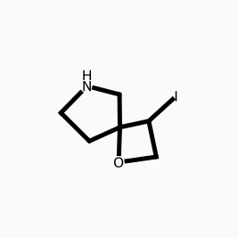 IC1COC12CCNC2